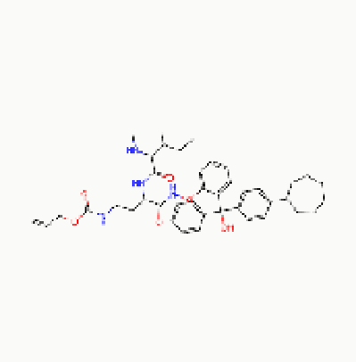 C=CCOC(=O)NCCC(NC(=O)C(NC)C(C)CC)C(=O)NOc1ccccc1C(O)(c1ccccc1)c1ccc(C2CCCCCC2)cc1